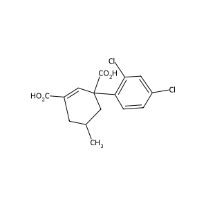 CC1CC(C(=O)O)=CC(C(=O)O)(c2ccc(Cl)cc2Cl)C1